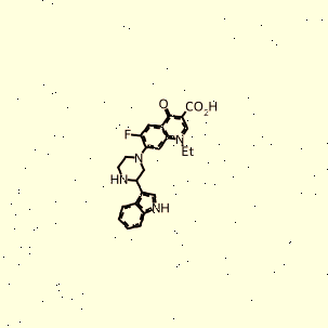 CCn1cc(C(=O)O)c(=O)c2cc(F)c(N3CCNC(c4c[nH]c5ccccc45)C3)cc21